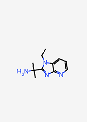 CCn1c(C(C)(C)N)nc2ncccc21